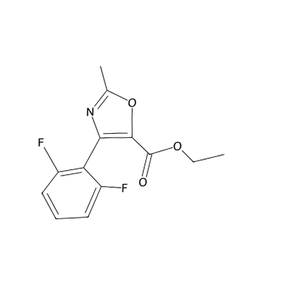 CCOC(=O)c1oc(C)nc1-c1c(F)cccc1F